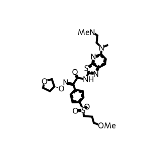 CNCCN(C)c1ccc2nc(NC(=O)/C(=N/O[C@@H]3CCOC3)c3ccc(S(=O)(=O)CCCOC)cc3)sc2n1